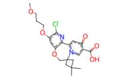 COCCCOc1cc2c(nc1Cl)-c1cc(=O)c(C(=O)O)cn1C1(CO2)CC(C)(C)C1